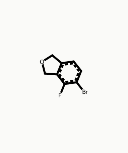 Fc1c(Br)ccc2c1COC2